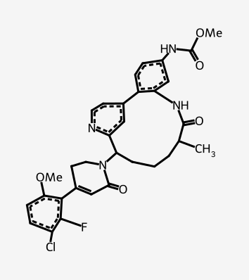 COC(=O)Nc1ccc2c(c1)NC(=O)C(C)CCCC(N1CCC(c3c(OC)ccc(Cl)c3F)=CC1=O)c1cc-2ccn1